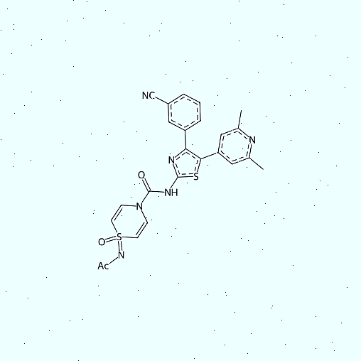 CC(=O)N=S1(=O)C=CN(C(=O)Nc2nc(-c3cccc(C#N)c3)c(-c3cc(C)nc(C)c3)s2)C=C1